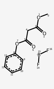 COC(=O)CC(=O)Oc1ccccc1.F[B]F